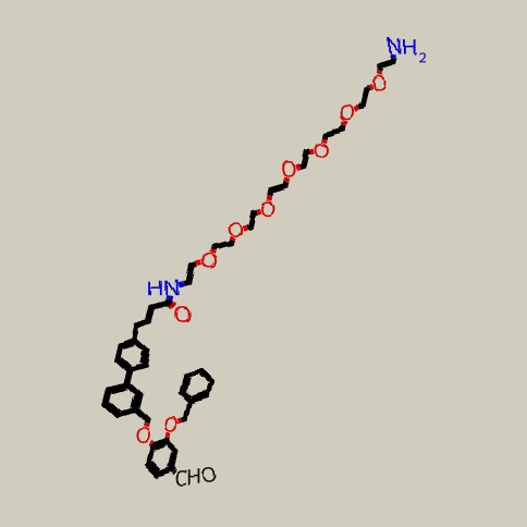 NCCOCCOCCOCCOCCOCCOCCOCCNC(=O)CCCc1ccc(-c2cccc(COc3ccc(C=O)cc3OCc3ccccc3)c2)cc1